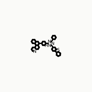 c1ccc(C2=NC(c3ccc(-c4cc5ccccc5c5c4ccc4ncccc45)cc3)NC(c3ccc4c(c3)sc3ccccc34)=N2)cc1